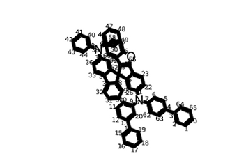 c1ccc(-c2ccc(N(c3cccc(-c4ccccc4)c3)c3ccc4c(c3)C3(c5ccccc5-c5ccc(N(c6ccccc6)c6ccccc6)cc53)c3c-4oc4ccccc34)cc2)cc1